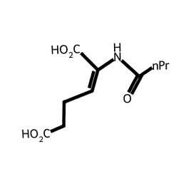 CCCC(=O)NC(=CCCC(=O)O)C(=O)O